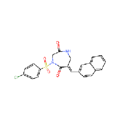 O=C1CN(S(=O)(=O)c2ccc(Cl)cc2)C(=O)C(=Cc2ccc3ccccc3c2)CN1